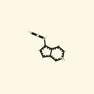 S=C=Nc1ccc2coccc1-2